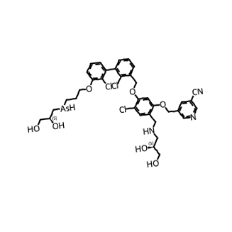 N#Cc1cncc(COc2cc(OCc3cccc(-c4cccc(OCCC[AsH]C[C@@H](O)CO)c4Cl)c3Cl)c(Cl)cc2CNC[C@H](O)CO)c1